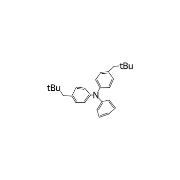 CC(C)(C)Cc1ccc(N(c2ccccc2)c2ccc(CC(C)(C)C)cc2)cc1